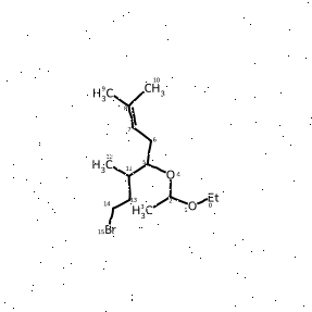 CCOC(C)OC(CC=C(C)C)C(C)CCBr